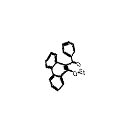 CCOc1c(C(=O)c2ccccc2)c2ccccc2c2ccccc12